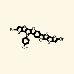 Oc1ccc(-n2c3c4cc5oc6c(sc7c8sc(Br)cc8sc67)c5cc4oc3c3sc4cc(Br)sc4c32)cc1